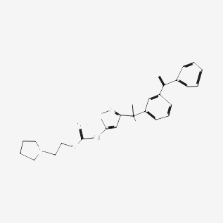 CC(C)(c1cccc(C(=O)c2ccccc2)c1)c1cc(NC(=N)NCCN2CCCC2)on1